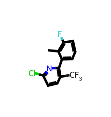 Cc1c(F)cccc1-c1nc(Cl)ccc1C(F)(F)F